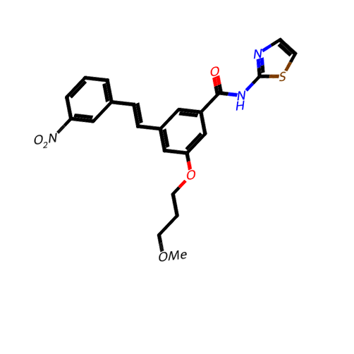 COCCCOc1cc(/C=C/c2cccc([N+](=O)[O-])c2)cc(C(=O)Nc2nccs2)c1